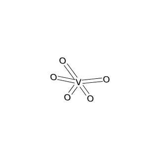 [O]=[V](=[O])(=[O])(=[O])=[O]